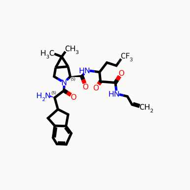 C=CCNC(=O)C(=O)C(CCC(F)(F)F)NC(=O)[C@@H]1C2C(CN1C(=O)[C@@H](N)C1Cc3ccccc3C1)C2(C)C